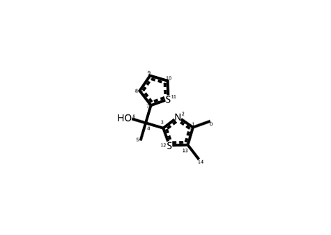 Cc1nc(C(C)(O)c2cccs2)sc1C